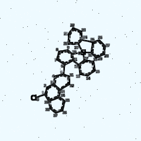 Clc1cc2cc(-c3cccc4c3-c3ccccc3[Si]43c4ccccc4-c4ccccc43)ccc2c2ccccc12